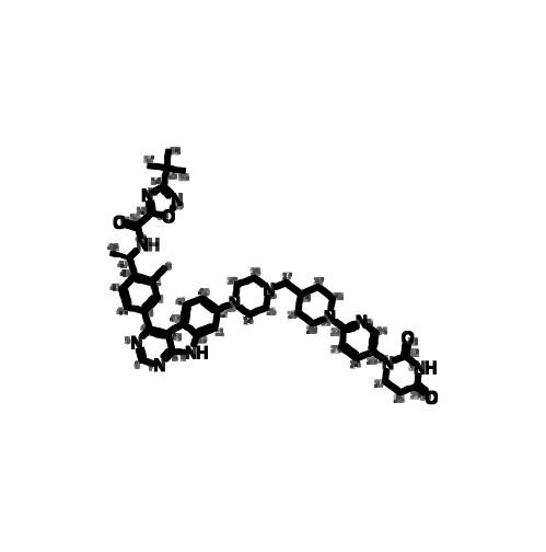 Cc1cc(-c2ncnc3[nH]c4cc(N5CCN(CC6CCN(c7ccc(N8CCC(=O)NC8=O)cn7)CC6)CC5)ccc4c23)ccc1[C@@H](C)NC(=O)c1nc(C(C)(C)C)no1